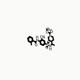 Cc1ccccc1C(=O)Nc1ccc(S(=O)(=O)NC(C)C2CCN(C(=O)OC(C)(C)C)CC2)cc1C#N